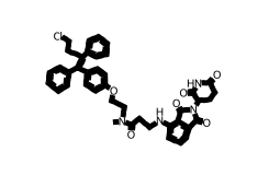 CN(CCOc1ccc(/C(=C(/CCCl)c2ccccc2)c2ccccc2)cc1)C(=O)CCNc1cccc2c1C(=O)N(C1CCC(=O)NC1=O)C2=O